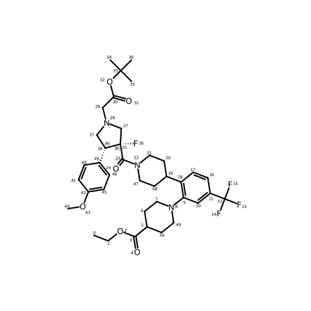 CCOC(=O)C1CCN(c2cc(C(F)(F)F)ccc2C2CCN(C(=O)[C@]3(F)CN(CC(=O)OC(C)(C)C)C[C@H]3c3ccc(OC)cc3)CC2)CC1